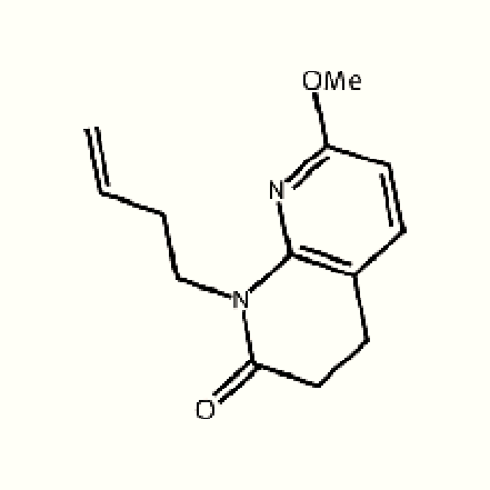 C=CCCN1C(=O)CCc2ccc(OC)nc21